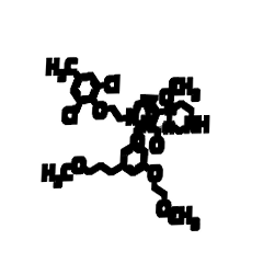 COCCCc1cc(CN(C(=O)[C@H]2CNCC[C@@]2(OC)c2ccn(CCOc3c(Cl)cc(C)cc3Cl)c(=O)c2)C2CC2)cc(OCCOC)c1